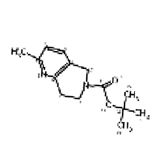 Cc1ccc2c(n1)CCN(C(=O)OC(C)(C)C)C2